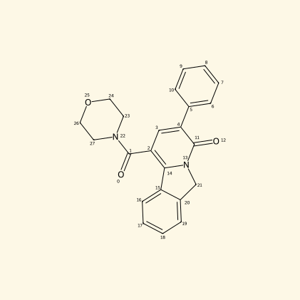 O=C(c1cc(-c2ccccc2)c(=O)n2c1-c1ccccc1C2)N1CCOCC1